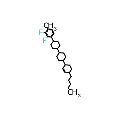 CCCCCC1C=CC(C2CCC(C3CCC(c4ccc(C)c(F)c4F)CC3)CC2)CC1